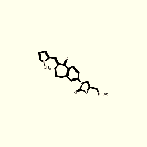 CC(=O)NCC1CN(c2ccc3c(c2)CCCC(=Cc2cccn2C)C3=O)C(=O)O1